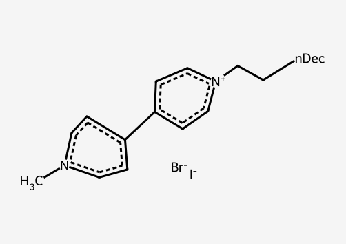 CCCCCCCCCCCC[n+]1ccc(-c2cc[n+](C)cc2)cc1.[Br-].[I-]